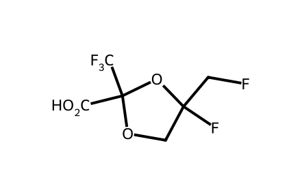 O=C(O)C1(C(F)(F)F)OCC(F)(CF)O1